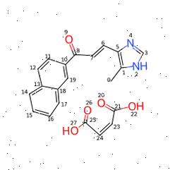 Cc1[nH]cnc1/C=C/C(=O)c1ccc2ccccc2c1.O=C(O)/C=C\C(=O)O